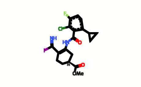 COC(=O)[C@H]1CCC(C(=N)I)=C(NC(=O)c2c(C3CC3)ccc(F)c2Cl)C1